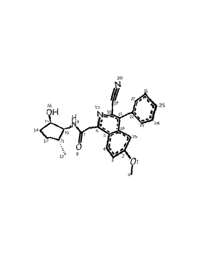 COc1ccc2c(C(=O)N[C@H]3[C@H](C)CC[C@H]3O)nc(C#N)c(-c3ccccc3)c2c1